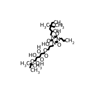 C=CCn1c(=O)n(CC(O)COC(=O)C(O)C(O)C(O)C(=O)OC(C)(C)CC)c(=O)n(CC(O)CC(C)(CC)CC)c1=O